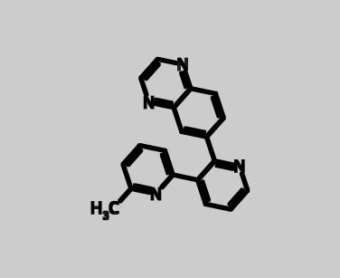 Cc1cccc(-c2cccnc2-c2ccc3nccnc3c2)n1